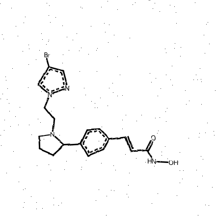 O=C(C=Cc1ccc(C2CCCN2CCn2cc(Br)cn2)cc1)NO